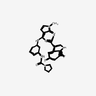 Cn1ccc2c(NC3CCCC(NC(=O)N4CCCC4)C3)nc(-c3c[nH]c4c(F)cc(F)cc34)nc21